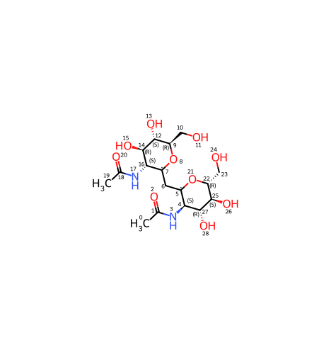 CC(=O)N[C@H]1[C](C[C]2O[C@H](CO)[C@@H](O)[C@H](O)[C@H]2NC(C)=O)O[C@H](CO)[C@@H](O)[C@@H]1O